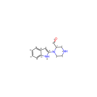 O=CC1CNCCN1c1cc2ccccc2[nH]1